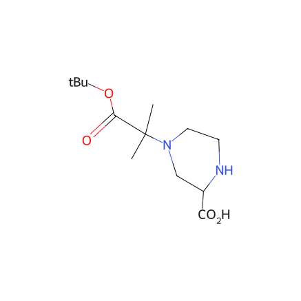 CC(C)(C)OC(=O)C(C)(C)N1CCNC(C(=O)O)C1